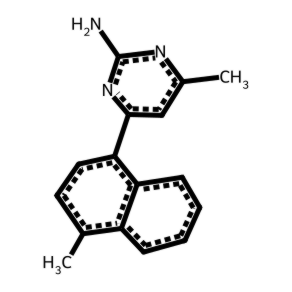 Cc1cc(-c2ccc(C)c3ccccc23)nc(N)n1